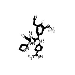 COc1cc(C(Nc2ccc(C(=N)N)cc2)c2nn(-c3cccnn3)c(=O)[nH]2)cc(CC#N)c1F